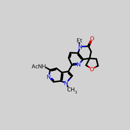 CCN1C(=O)CC2(CCOC2)c2nc(-c3cn(C)c4cnc(NC(C)=O)cc34)ccc21